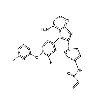 C=CC(=O)Nc1ccc(-c2nn3ncnc(N)c3c2-c2ccc(Oc3cccc(C)n3)c(F)c2)cc1